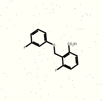 CCOC(=O)c1cccc(F)c1COc1cccc(F)c1